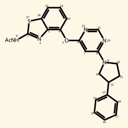 CC(=O)Nc1nc2c(Oc3cc(N4CCC(c5ccccc5)C4)ncn3)cccc2s1